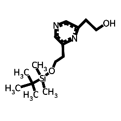 CC(C)(C)[Si](C)(C)OCCc1cncc(CCO)n1